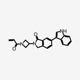 C=CC(=O)N1CC(N2Cc3ccc(-c4c[nH]c5ccccc45)cc3C2=O)C1